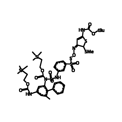 CSC1SC(NC(=O)OC(C)(C)C)=CC1=NOSS(=O)(=O)c1cccc(NS(=O)(=O)N(C(=O)OCC[Si](C)(C)C)c2cc(NC(=O)OCC[Si](C)(C)C)cc(C)c2-c2ccccc2)c1